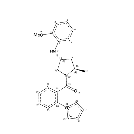 COc1cccnc1N[C@@H]1C[C@@H](C)N(C(=O)c2ncccc2-n2cccn2)C1